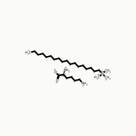 CCCCCCCCCCCCCCCCCC[N+](C)(C)C.NCCCC[C@H](N)C(=O)[O-]